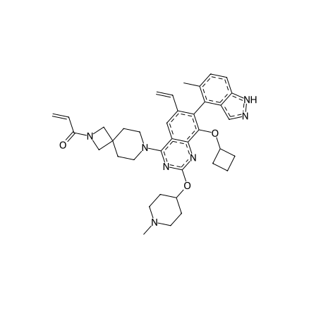 C=CC(=O)N1CC2(CCN(c3nc(OC4CCN(C)CC4)nc4c(OC5CCC5)c(-c5c(C)ccc6[nH]ncc56)c(C=C)cc34)CC2)C1